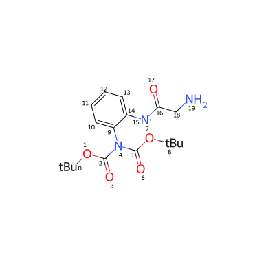 CC(C)(C)OC(=O)N(C(=O)OC(C)(C)C)c1ccccc1[N]C(=O)CN